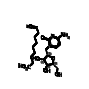 CCCCCCCCCCCCCCCCCC(=O)O.Nc1ccn(C[C@@H]2O[C@H](CO)[C@@H](O)[C@H]2O)c(=O)n1